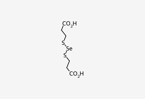 O=C(O)CCS[Se]SCCC(=O)O